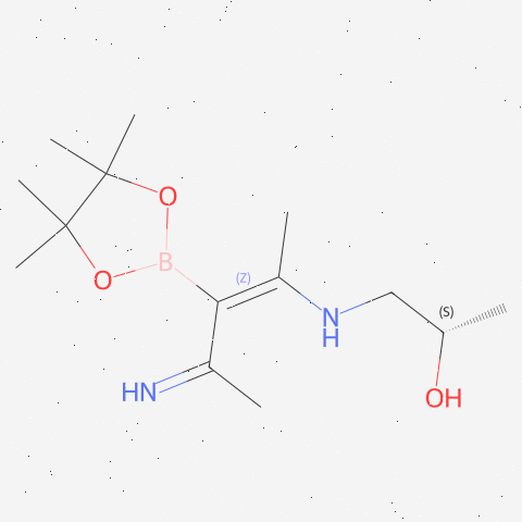 CC(=N)/C(B1OC(C)(C)C(C)(C)O1)=C(/C)NC[C@H](C)O